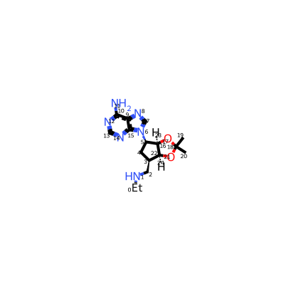 CCNC[C@H]1C[C@@H](n2cnc3c(N)ncnc32)[C@H]2OC(C)(C)O[C@@H]12